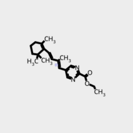 CCOC(=O)c1ncc(/C=C(\C)C=CC2=C(C)CCCC2(C)C)cn1